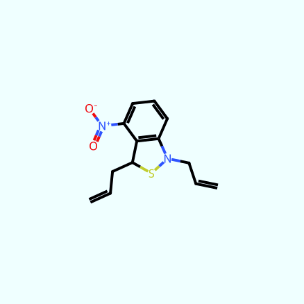 C=CCC1SN(CC=C)c2cccc([N+](=O)[O-])c21